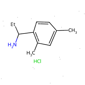 CCC(N)c1ccc(C)cc1C.Cl